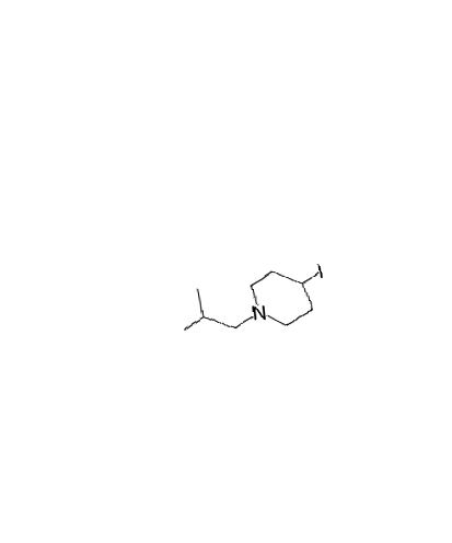 CC(C)CN1CCC(I)CC1